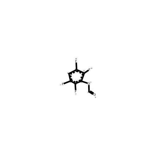 O=COc1c(F)c(F)cc(F)c1F